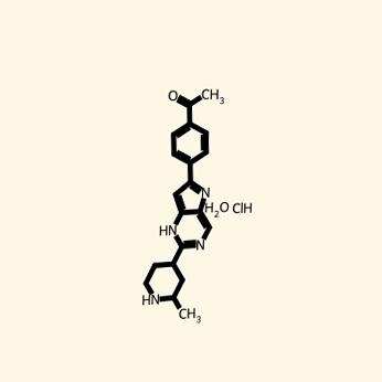 CC(=O)c1ccc(-c2cc3[nH]c(C4CCNC(C)C4)ncc-3n2)cc1.Cl.O